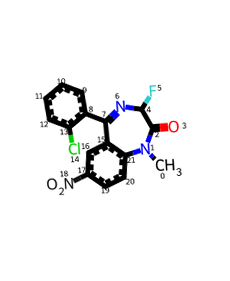 CN1C(=O)C(F)N=C(c2ccccc2Cl)c2cc([N+](=O)[O-])ccc21